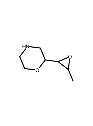 CC1OC1C1CNCCO1